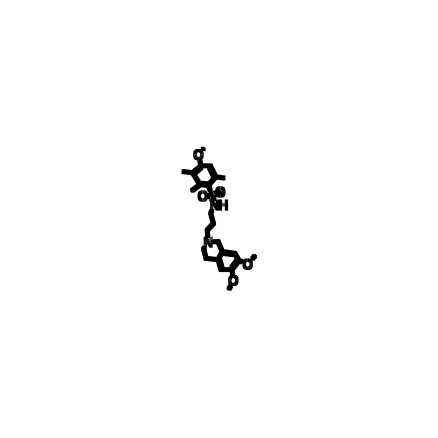 COc1cc2c(cc1OC)CN(CCCNS(=O)(=O)c1c(C)cc(OC)c(C)c1C)CC2